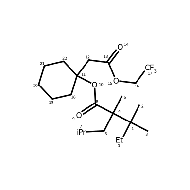 CCC(C)(C)C(C)(CC(C)C)C(=O)OC1(CC(=O)OCC(F)(F)F)CCCCC1